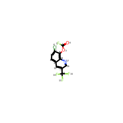 O=C(F)Oc1c(Cl)ccc2cc(C(F)(F)F)cnc12